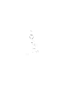 CC(C)CC(CNC(=O)Nc1ccc(OC(F)(F)F)cc1)C(=O)O